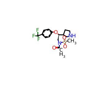 CC(=O)N(C[C@@H](Oc1ccc(C(F)(F)F)cc1)C1CCNC1)S(C)(=O)=O